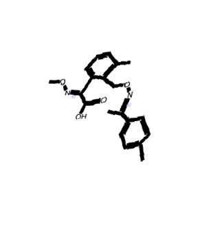 CO/N=C(/C(=O)O)c1cccc(C)c1CO/N=C(\C)c1ccc(C)cc1